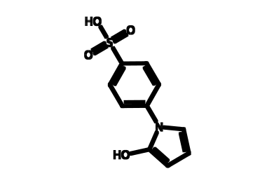 O=S(=O)(O)c1ccc(-n2cccc2O)cc1